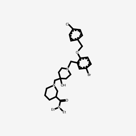 CCN(CC)C(=O)C1CCCN(CC2(O)CCN(Cc3cc(Br)ccc3OCc3ccc(Cl)cc3)CC2)C1